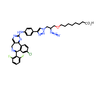 [N-]=[N+]=NC(COCCCCCCCC(=O)O)Cn1cc(-c2ccc(Nc3ncc4c(n3)-c3ccc(Cl)cc3C(c3c(F)cccc3F)=NC4)cc2)nn1